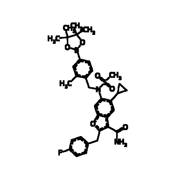 Cc1cc(B2OC(C)(C)C(C)(C)O2)ccc1CN(c1cc2oc(Cc3ccc(F)cc3)c(C(N)=O)c2cc1C1CC1)S(C)(=O)=O